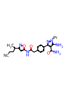 C=C(CCC#N)c1cc(NC(=O)Cc2ccc(-c3nn(C(C)C)c(N)c3C(N)=O)cc2)on1